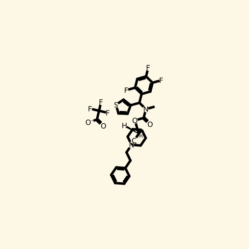 CN(C(=O)O[C@H]1C[N+]2(CCc3ccccc3)CCC1CC2)C(c1ccsc1)c1cc(F)c(F)cc1F.O=C([O-])C(F)(F)F